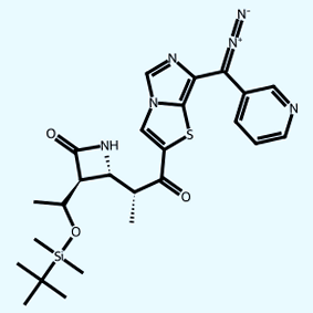 CC(O[Si](C)(C)C(C)(C)C)[C@H]1C(=O)N[C@@H]1[C@@H](C)C(=O)c1cn2cnc(C(=[N+]=[N-])c3cccnc3)c2s1